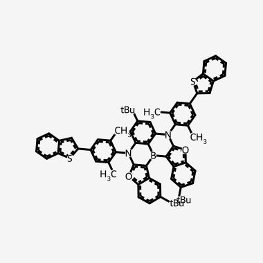 Cc1cc(-c2cc3ccccc3s2)cc(C)c1N1c2cc(C(C)(C)C)cc3c2B(c2c1oc1ccc(C(C)(C)C)cc21)c1c(oc2ccc(C(C)(C)C)cc12)N3c1c(C)cc(-c2cc3ccccc3s2)cc1C